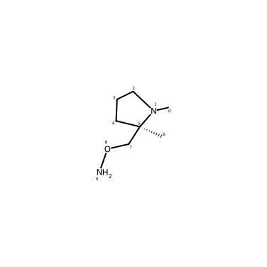 CN1CCC[C@]1(C)CON